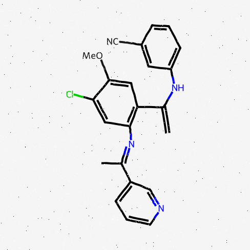 C=C(Nc1cccc(C#N)c1)c1cc(OC)c(Cl)cc1/N=C(\C)c1cccnc1